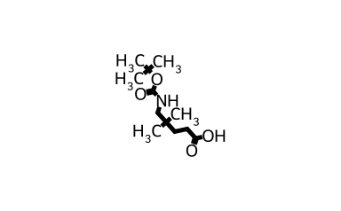 CC(C)(CCC(=O)O)CNC(=O)OC(C)(C)C